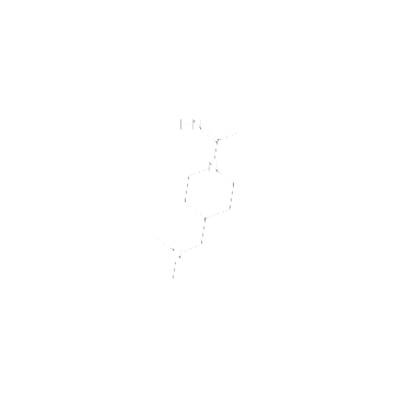 CC(=N)N1CCC(CN(C)C)CC1